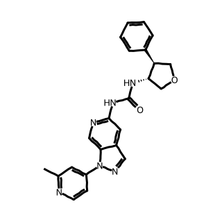 Cc1cc(-n2ncc3cc(NC(=O)N[C@H]4COC[C@@H]4c4ccccc4)ncc32)ccn1